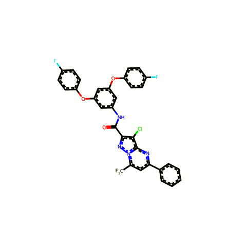 O=C(Nc1cc(Oc2ccc(F)cc2)cc(Oc2ccc(F)cc2)c1)c1nn2c(C(F)(F)F)cc(-c3ccccc3)nc2c1Cl